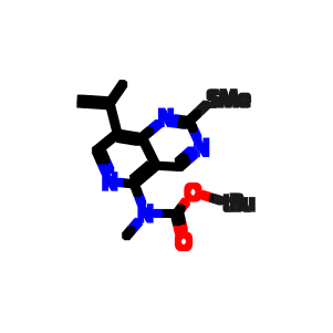 C=C(C)c1cnc(N(C)C(=O)OC(C)(C)C)c2cnc(SC)nc12